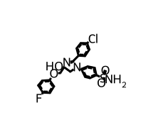 NS(=O)(=O)c1ccc(N2CC(O)(COc3ccc(F)cc3)N=C2c2ccc(Cl)cc2)cc1